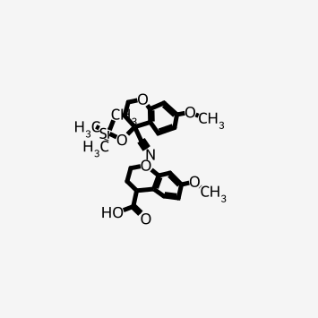 COc1ccc2c(c1)OCCC2(C#N)O[Si](C)(C)C.COc1ccc2c(c1)OCCC2C(=O)O